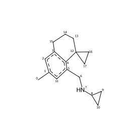 Cc1cc2c(c(CNC3CC3)c1)C1(CCC2)CC1